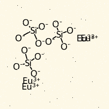 [Eu+3].[Eu+3].[Eu+3].[Eu+3].[O-][Si]([O-])([O-])[O-].[O-][Si]([O-])([O-])[O-].[O-][Si]([O-])([O-])[O-]